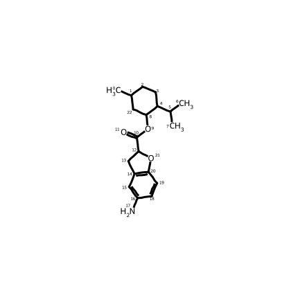 CC1CCC(C(C)C)C(OC(=O)C2Cc3cc(N)ccc3O2)C1